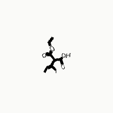 CC=C(I)C(C(=O)O)C(=O)OCC